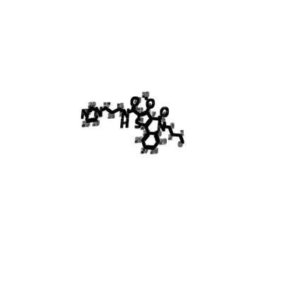 CCCCn1c(=O)c2c(OC)c(C(=O)NCCCn3ccnc3)sc2c2ccccc21